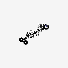 O=C(NCCCC[C@H](NC(=O)OCC1c2ccccc2-c2ccccc21)C(=O)O)OCCC1(O)CCCC/C=C/C1O